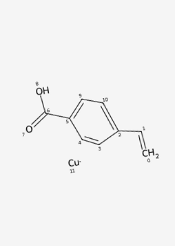 C=Cc1ccc(C(=O)O)cc1.[Cu]